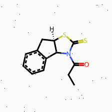 CCC(=O)N1C(=S)S[C@@H]2Cc3ccccc3C21